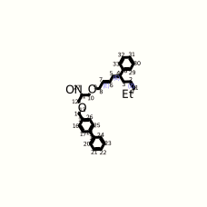 CC/C=C\C/C(=C\C=C\COCC(COCc1ccc(-c2ccccc2)cc1)N=O)c1ccccc1